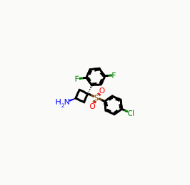 N[C@H]1C[C@@](c2cc(F)ccc2F)(S(=O)(=O)c2ccc(Cl)cc2)C1